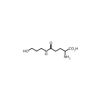 NC(CCC(=O)NCCCO)C(=O)O